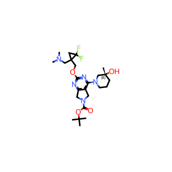 CN(C)CC1(COc2nc3c(c(N4CCC[C@@](C)(O)C4)n2)CN(C(=O)OC(C)(C)C)C3)CC1(F)F